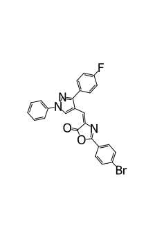 O=C1OC(c2ccc(Br)cc2)=N/C1=C/c1cn(-c2ccccc2)nc1-c1ccc(F)cc1